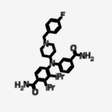 CC(C)c1c(C(N)=O)ccc(N(c2cccc(C(N)=O)c2)C2CCN(Cc3ccc(F)cc3)CC2)c1C(C)C